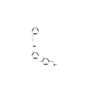 O=C(O)Cc1ccc(Oc2ccc(NC(=O)NCCc3ccccc3)cc2)c(Cl)c1